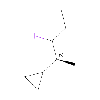 CCC(I)[C@@H](C)C1CC1